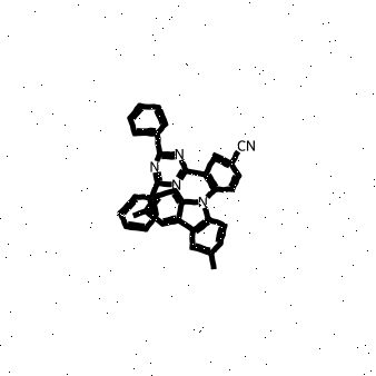 Cc1ccc2c(c1)c1cc(C)ccc1n2-c1ccc(C#N)cc1-c1nc(-c2ccccc2)nc(-c2ccccc2)n1